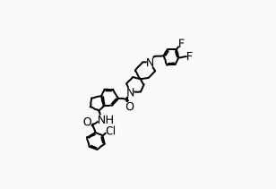 O=C(NC1CCc2ccc(C(=O)N3CCC4(CCN(Cc5ccc(F)c(F)c5)CC4)CC3)cc21)c1ccccc1Cl